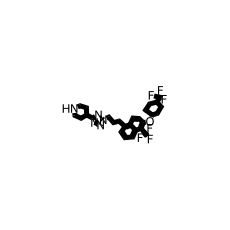 FC(F)(F)c1c(OC2CCC(C(F)(F)F)CC2)ccc2c(CCCn3nnc(C4CCNCC4)n3)cccc12